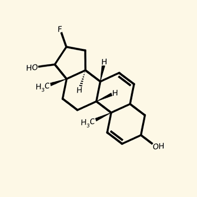 C[C@]12C=CC(O)CC1C=C[C@@H]1[C@H]2CC[C@]2(C)C(O)C(F)C[C@@H]12